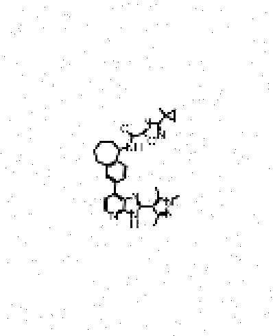 Cc1nn(C)c(C)c1-c1nc2c(-c3ccc4c(c3)CCCCC4NC(=O)c3nc(C4(C)CC4)no3)ccnc2[nH]1